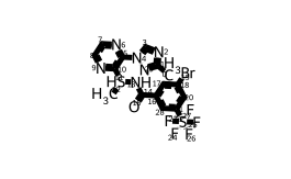 Cc1ncn(-c2nccnc2[SH](C)NC(=O)c2cc(Br)cc(S(F)(F)(F)(F)F)c2)n1